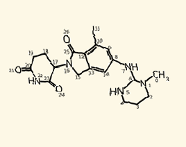 CN1CCCNC1Nc1cc(I)c2c(c1)CN(C1CCC(=O)NC1=O)C2=O